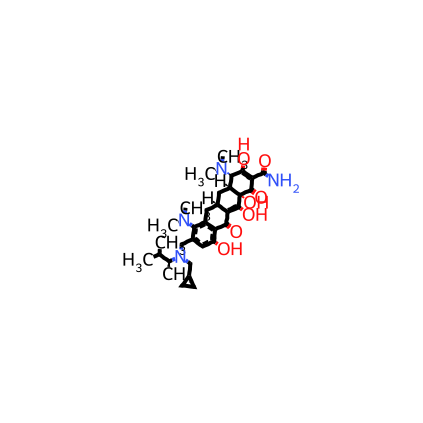 CC(C)[C@H](C)N(Cc1cc(O)c2c(c1N(C)C)C[C@H]1C[C@H]3[C@H](N(C)C)C(O)=C(C(N)=O)C(=O)[C@@]3(O)C(O)=C1C2=O)CC1CC1